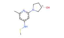 CSNc1cc(C)nc(N2CC[C@H](O)C2)c1